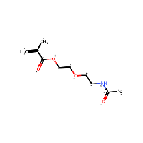 C=C(C)C(=O)OCCOCCNC(=O)C(C)=O